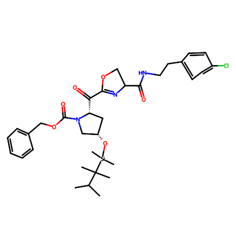 CC(C)C(C)(C)[Si](C)(C)O[C@H]1C[C@@H](C(=O)C2=NC(C(=O)NCCc3ccc(Cl)cc3)CO2)N(C(=O)OCc2ccccc2)C1